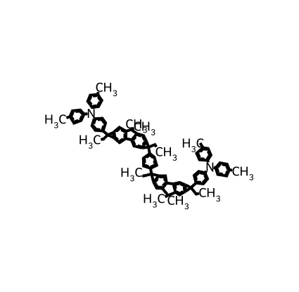 CCC1(c2ccc(N(c3ccc(C)cc3)c3ccc(C)cc3)cc2)c2cc3c(cc21)C(C)(C)c1cc2c(cc1-3)C2(CC)c1ccc(C2(CC)c3cc4c(cc32)C(C)(C)c2cc3c(cc2-4)C3(CC)c2ccc(N(c3ccc(C)cc3)c3ccc(C)cc3)cc2)cc1